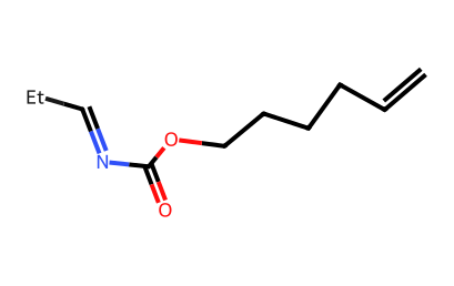 C=CCCCCOC(=O)N=CCC